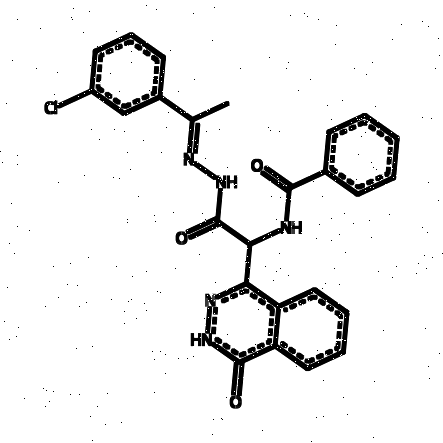 C/C(=N\NC(=O)C(NC(=O)c1ccccc1)c1n[nH]c(=O)c2ccccc12)c1cccc(Cl)c1